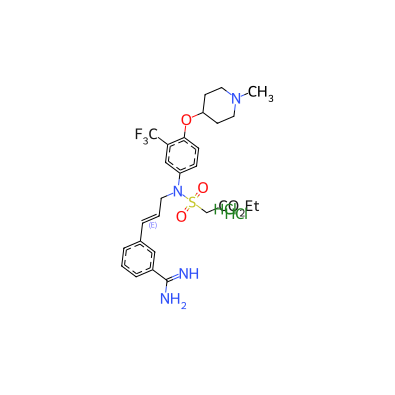 CCOC(=O)CS(=O)(=O)N(C/C=C/c1cccc(C(=N)N)c1)c1ccc(OC2CCN(C)CC2)c(C(F)(F)F)c1.Cl.Cl